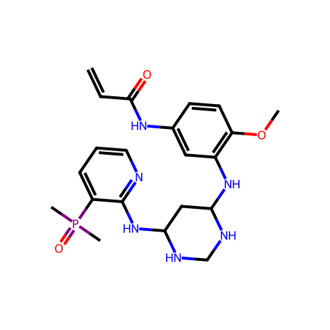 C=CC(=O)Nc1ccc(OC)c(NC2CC(Nc3ncccc3P(C)(C)=O)NCN2)c1